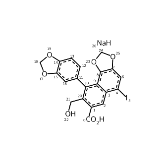 O=C(O)c1cc2c(I)cc3c(c2c(-c2ccc4c(c2)OCO4)c1CO)OCO3.[NaH]